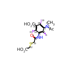 CC(=O)N(C)c1c(I)c(NC(=O)CSCC(=O)O)c(I)c(C(=O)O)c1I